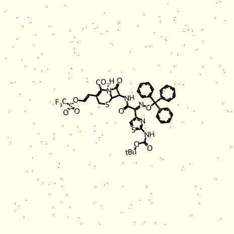 CC(C)(C)OC(=O)Nc1nc(C(=NOC(c2ccccc2)(c2ccccc2)c2ccccc2)C(=O)NC2C(=O)N3C(C(=O)O)=C(C=COS(=O)(=O)C(F)(F)F)CSC23)cs1